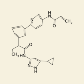 C=CC(=O)Nc1ccc(-c2cccc(C(CC)C(=O)Nc3cc(C4CC4)[nH]n3)c2)nc1